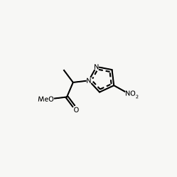 COC(=O)C(C)n1cc([N+](=O)[O-])cn1